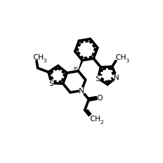 C=CC(=O)N1Cc2sc(CC)cc2[C@@H](c2ccccc2-c2scnc2C)C1